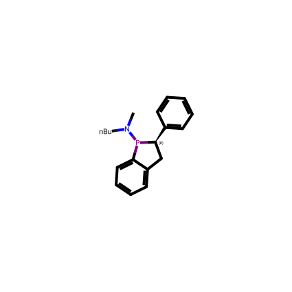 CCCCN(C)P1c2ccccc2C[C@@H]1c1ccccc1